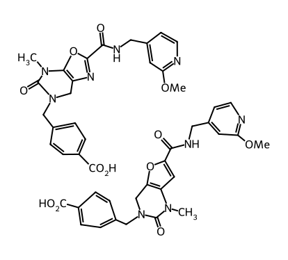 COc1cc(CNC(=O)c2cc3c(o2)CN(Cc2ccc(C(=O)O)cc2)C(=O)N3C)ccn1.COc1cc(CNC(=O)c2nc3c(o2)N(C)C(=O)N(Cc2ccc(C(=O)O)cc2)C3)ccn1